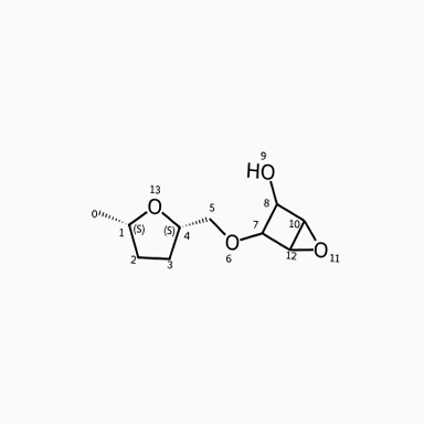 C[C@H]1CC[C@@H](COC2C(O)C3OC23)O1